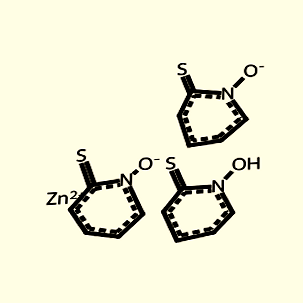 On1ccccc1=S.[O-]n1ccccc1=S.[O-]n1ccccc1=S.[Zn+2]